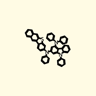 c1ccc(N(c2ccc3c(c2)sc2cc4ccccc4cc23)c2cc(N(c3ccccc3)c3ccccc3)c3c4ccccc4n(-c4ccccc4)c3c2)cc1